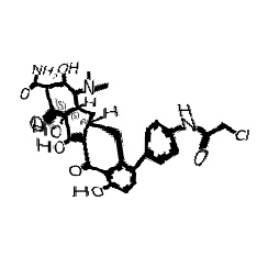 CN(C)C1C(O)=C(C(N)=O)C(=O)[C@@]2(O)C(O)=C3C(=O)c4c(O)ccc(-c5ccc(NC(=O)CCl)cc5)c4C[C@H]3C[C@@H]12